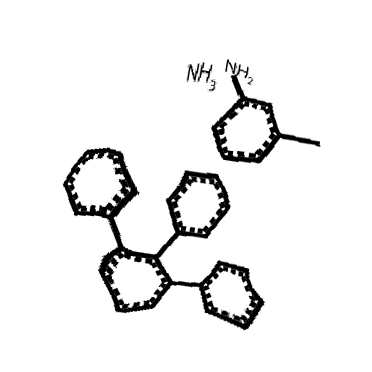 Cc1cccc(N)c1.N.c1ccc(-c2cccc(-c3ccccc3)c2-c2ccccc2)cc1